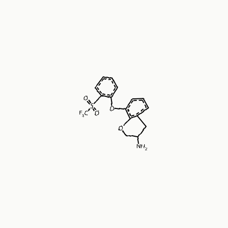 NC1COc2c(cccc2Oc2ccccc2S(=O)(=O)C(F)(F)F)C1